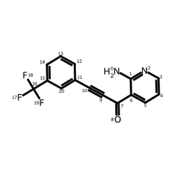 Nc1ncccc1C(=O)C#Cc1cccc(C(F)(F)F)c1